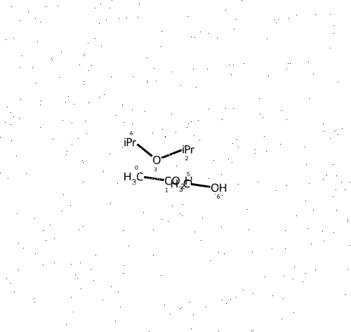 CC(=O)O.CC(C)OC(C)C.CO